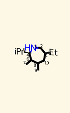 CCC1CN[C@H](C(C)C)C(C)C(C)C1